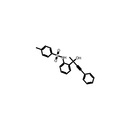 Cc1ccc(S(=O)(=O)Nc2ccccc2C(C)(O)C#Cc2ccccc2)cc1